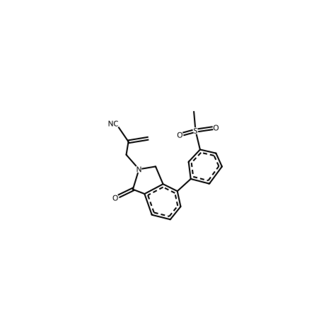 C=C(C#N)CN1Cc2c(cccc2-c2cccc(S(C)(=O)=O)c2)C1=O